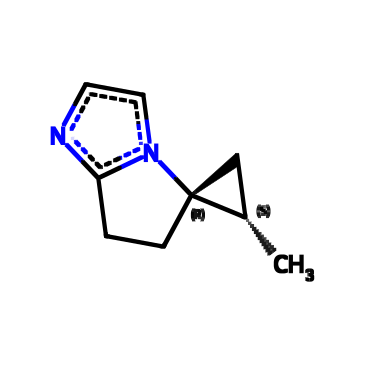 C[C@H]1C[C@]12CCc1nccn12